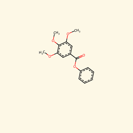 COc1cc(C(=O)Oc2cc[c]cc2)cc(OC)c1OC